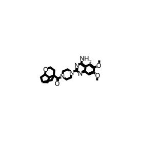 COc1cc2nc(N3CCN(C(=O)C45CCOC6CC(CC64)C5)CC3)nc(N)c2cc1OC